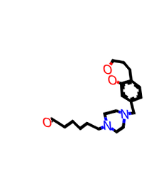 O=[C]CCCCCN1CCN(Cc2ccc3c(c2)OOCCC3)CC1